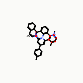 COC(=O)c1cc(-c2ccc(C)cc2)cc(-c2ccccc2C)[n+]1-c1c(-c2cccc[n+]2C)cccc1-c1c2ccccc2cc[n+]1C